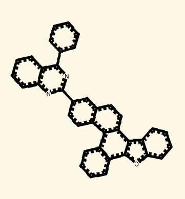 c1ccc(-c2nc(-c3ccc4c(ccc5c4c4ccccc4c4oc6ccccc6c54)c3)nc3ccccc23)cc1